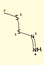 CSSN=N